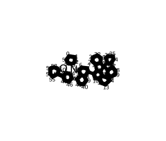 c1ccc(N(c2ccc(-c3cc4ccccc4c4c3-c3ccccc3C4(c3ccccc3)c3ccccc3)c3ccccc23)c2cccc3c2oc2ccccc23)cc1